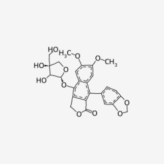 COc1cc2c(O[C@@H]3OC[C@@](O)(CO)C3O)c3c(c(-c4ccc5c(c4)OCO5)c2cc1OC)C(=O)OC3